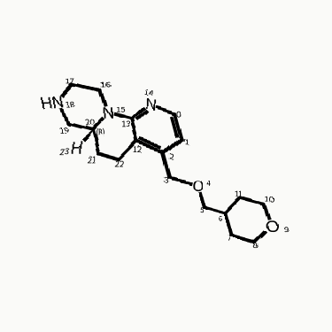 c1cc(COCC2CCOCC2)c2c(n1)N1CCNC[C@H]1CC2